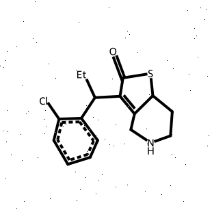 CCC(C1=C2CNCCC2SC1=O)c1ccccc1Cl